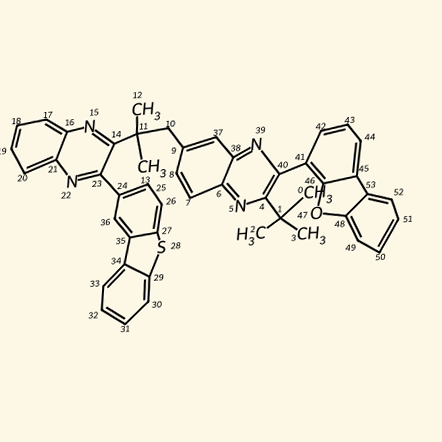 CC(C)(C)c1nc2ccc(CC(C)(C)c3nc4ccccc4nc3-c3ccc4sc5ccccc5c4c3)cc2nc1-c1cccc2c1oc1ccccc12